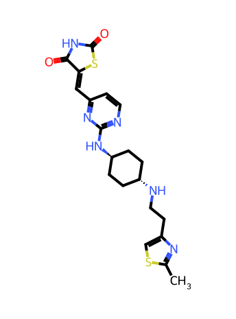 Cc1nc(CCN[C@H]2CC[C@H](Nc3nccc(/C=C4\SC(=O)NC4=O)n3)CC2)cs1